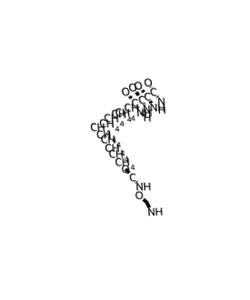 C.C.C.C.C.C.C.C.C.C.C.N=C=O.N=C=O.N=C=O.N=C=O.N=C=O.N=C=O